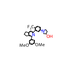 COc1cc(OC)cc(-c2nc(-c3cc(N4CCC(O)C4)ccc3C(F)(F)F)cc3c2CCC3)c1